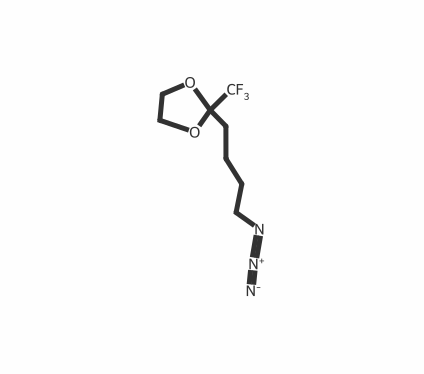 [N-]=[N+]=NCCCCC1(C(F)(F)F)OCCO1